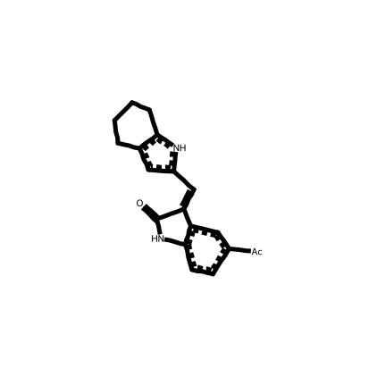 CC(=O)c1ccc2c(c1)/C(=C/c1cc3c([nH]1)CCCC3)C(=O)N2